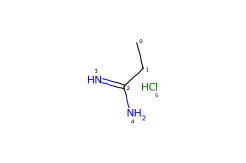 CCC(=N)N.Cl